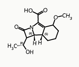 COC1CCC[C@H]2C1=C(C(=O)O)N1C(=O)C([C@@H](C)O)[C@@H]21